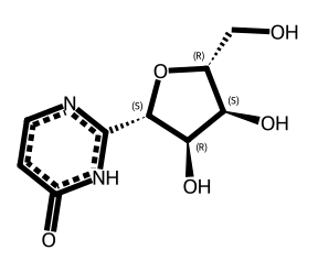 O=c1ccnc([C@@H]2O[C@H](CO)[C@@H](O)[C@H]2O)[nH]1